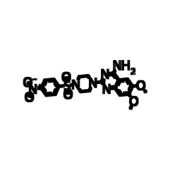 COc1cc2nc(N3CCN(S(=O)(=O)c4ccc([N+](=O)[O-])cc4)CC3)nc(N)c2cc1OC